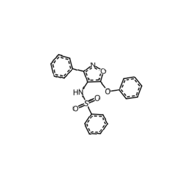 O=S(=O)(Nc1c(-c2ccccc2)noc1Oc1ccccc1)c1ccccc1